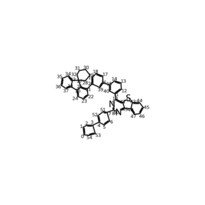 c1ccc(-c2ccc(-c3nc(-c4cccc(-c5cccc(-c6cccc7c6C6(CCCCC6)c6ccccc6-7)c5)c4)c4sc5ccccc5c4n3)cc2)cc1